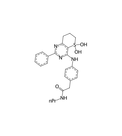 CCCNC(=O)Cc1ccc(Nc2nc(-c3ccccc3)nc3c2S(O)(O)CCC3)cc1